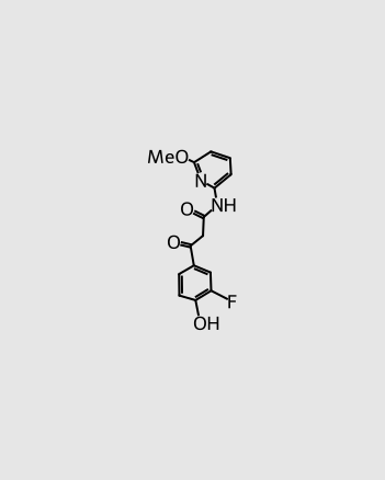 COc1cccc(NC(=O)CC(=O)c2ccc(O)c(F)c2)n1